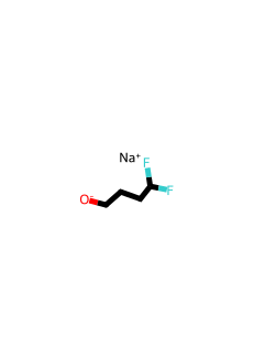 [Na+].[O-]CCCC(F)F